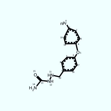 CCCc1ccc(Oc2ccc(CNNC(N)=O)cc2)cc1